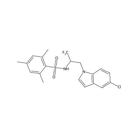 Cc1cc(C)c(S(=O)(=O)NC(Cn2ccc3cc(Cl)ccc32)C(F)(F)F)c(C)c1